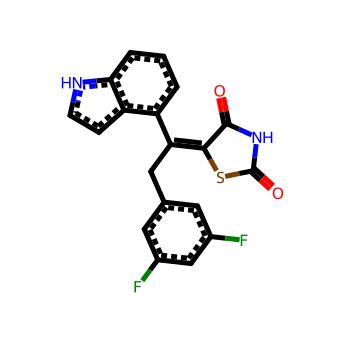 O=C1NC(=O)C(=C(Cc2cc(F)cc(F)c2)c2cccc3[nH]ccc23)S1